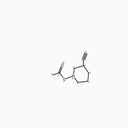 C#CC1CCCN(OC(C)=O)C1